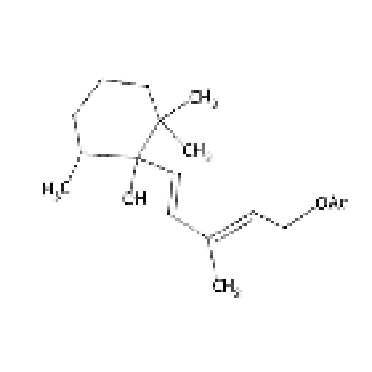 CC(=O)OCC=C(C)C=CC1(O)C(C)CCCC1(C)C